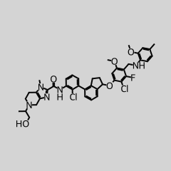 COc1cc(C)ccc1NCc1c(OC)cc(OC2CCc3c(-c4cccc(NC(=O)c5nc6c(n5C)CCN(C(C)CO)C6)c4Cl)cccc32)c(Cl)c1F